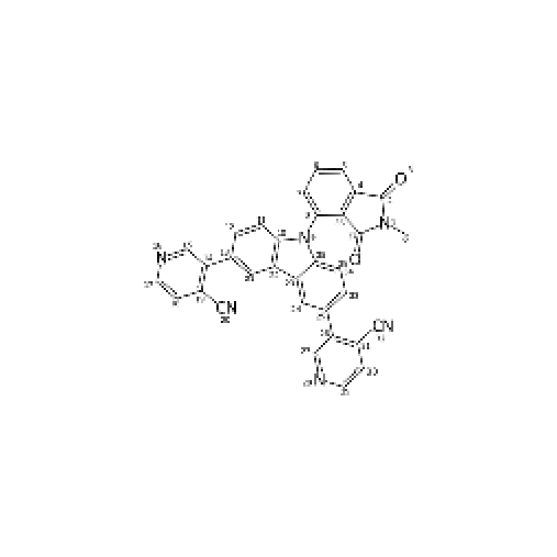 CN1C(=O)c2cccc(-n3c4ccc(-c5cnccc5C#N)cc4c4cc(-c5cnccc5C#N)ccc43)c2C1=O